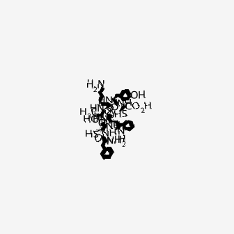 C[C@@H](O)[C@H](NC(=O)[C@@H](Cc1c[nH]c2ccccc12)NC(=O)[C@H](CS)NC(=O)[C@@H](N)Cc1ccccc1)C(=O)N[C@@H](CCCCN)C(=O)N[C@@H](Cc1ccc(O)cc1)C(=O)N[C@@H](CS)C(=O)O